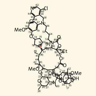 CC[C@H]1OC(=O)[C@H](C)[C@@H](O[C@H]2C[C@@](C)(OC)[C@@H](O)[C@H](C)O2)[C@H](C)[C@@H](O[C@@H]2O[C@H](C)C[C@H](N(C)C(=O)N3CCOCC3)[C@H]2O)[C@](C)(OC)C[C@@H](C)C(=O)[C@H](C)[C@H]2N(CCCCN(Cc3c(Cl)cncc3Cl)c3ccc(OC)c(OC4CCCC4)c3)C(=O)O[C@]12C